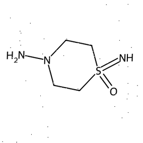 N=S1(=O)CCN(N)CC1